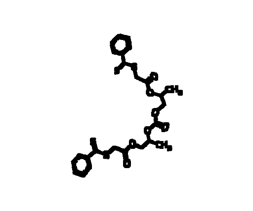 CC(COC(=O)OC(C)COC(=O)CSC(=S)c1ccccc1)OC(=O)CSC(=S)c1ccccc1